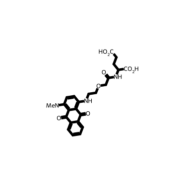 CNc1ccc(NCCOCC(=O)NC(CCC(=O)O)C(=O)O)c2c1C(=O)c1ccccc1C2=O